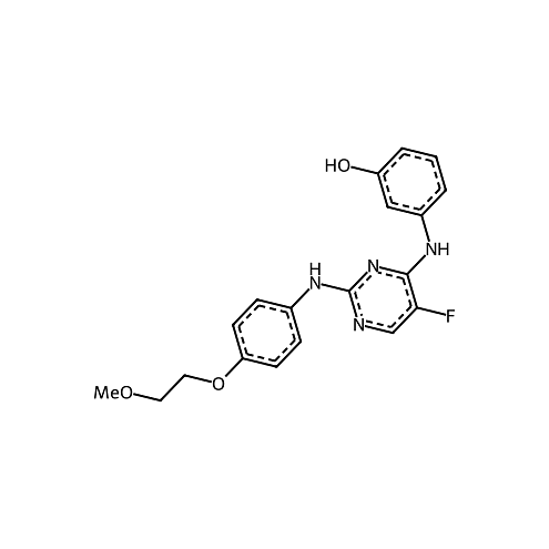 COCCOc1ccc(Nc2ncc(F)c(Nc3cccc(O)c3)n2)cc1